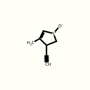 C#CC1C[S+]([O-])C=C1C